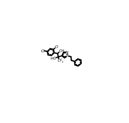 CC(c1ccc(Cl)cc1Cl)C(O)(c1cnn(CCc2ccccc2)c1)C(F)(F)F